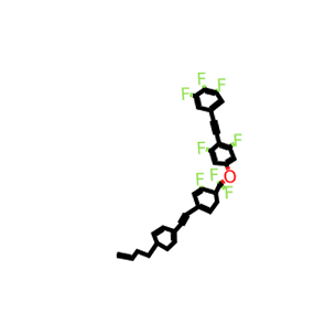 C=CCCC1C=CC(C#CC2=CCC(C(F)(F)Oc3cc(F)c(C#Cc4cc(F)c(F)c(F)c4)c(F)c3)C(F)=C2)=CC1